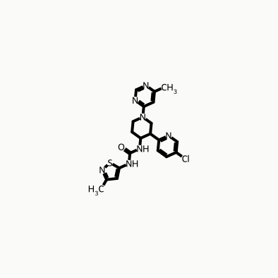 Cc1cc(N2CCC(NC(=O)Nc3cc(C)ns3)C(c3ccc(Cl)cn3)C2)ncn1